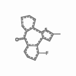 Cc1cc2c(s1)c1ccccc1c(=O)c1cccc(F)c12